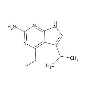 CC(C)c1c[nH]c2nc(N)nc(CI)c12